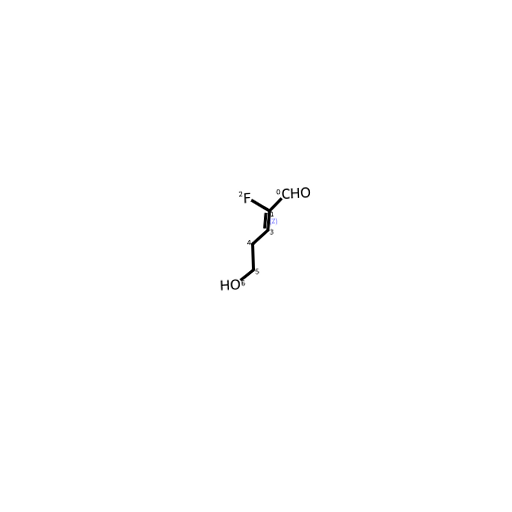 O=C/C(F)=C/CCO